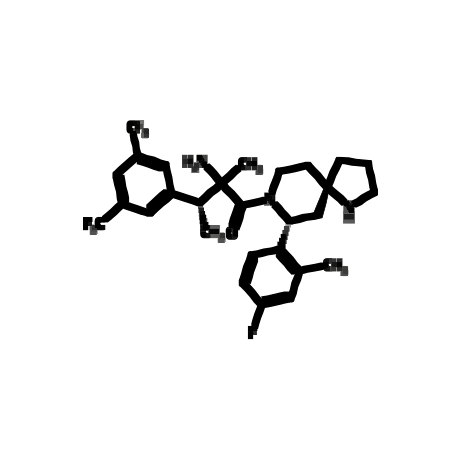 Cc1cc(F)ccc1[C@H]1C[C@]2(CCCN2)CCN1C(=O)C(C)(N)[C@H](C)c1cc(C(F)(F)F)cc(C(F)(F)F)c1